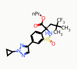 CCCOC(=O)[C@](CC(C)(C)C(F)(F)F)(N[SH]=O)c1ccc(-c2cnn(C3CC3)n2)cc1